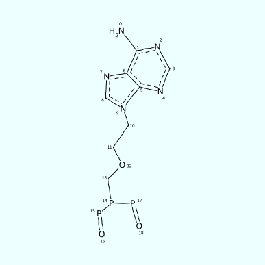 Nc1ncnc2c1ncn2CCOCP(P=O)P=O